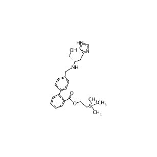 C[Si](C)(C)CCOC(=O)c1ccccc1-c1ccc(CN[C@H](CO)Cc2c[nH]cn2)cc1